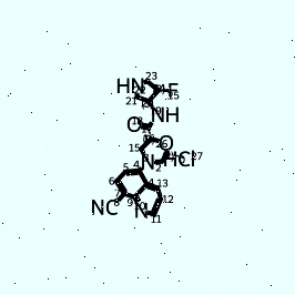 C[C@@H]1CN(c2ccc(C#N)c3ncccc23)C[C@H](C(=O)N[C@H]2CNC[C@H]2F)O1.Cl